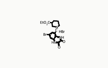 Br.CCOC(=O)C1CCCN(Cc2cc(Br)cc3[nH]c(=O)c(=O)[nH]c23)C1